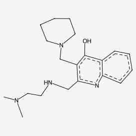 CN(C)CCNCc1nc2ccccc2c(O)c1CN1CCCCC1